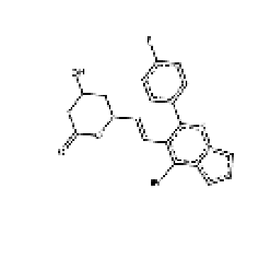 CC(C)c1c(C=CC2CC(O)CC(=O)O2)c(-c2ccc(F)cc2)nn2cccc12